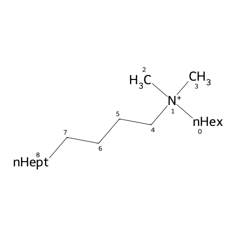 [CH2]CCCCC[N+](C)(C)CCCCCCCCCCC